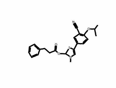 CC(C)Oc1ccc(C2=CN(C)C(OC(=O)CCc3ccccc3)S2)cc1C#N